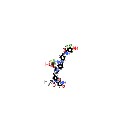 Cn1c(=O)n([C@@H]2CCC(=O)NC2=O)c2ccc(CN3CCN(c4ccc5c(c4)NN(C4CCC(CNC(=O)c6cc(F)c(O)c(F)c6F)CC4)C5)CC3)cc21.O=C(O)C(F)(F)F